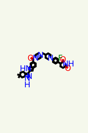 CC1(C)CCc2c(-c3cc4ccc(C(=O)N5CCN(CC6CCN(c7ccc(C8CCC(=O)NC8=O)c(F)c7)CC6)CC5)cc4[nH]3)n[nH]c2C1